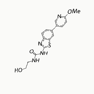 COc1ccc(-c2ccc3nc(NC(=O)NCCO)sc3c2)cn1